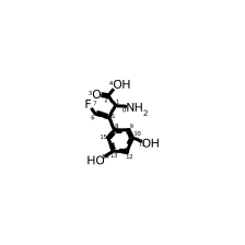 NC(C(=O)O)C(=CF)c1cc(O)cc(O)c1